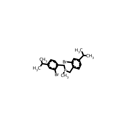 CC(C)c1ccc(CP(C)Cc2ccc(C(C)C)cc2Br)c(Br)c1